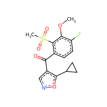 COc1c(F)ccc(C(=O)c2cnoc2C2CC2)c1S(C)(=O)=O